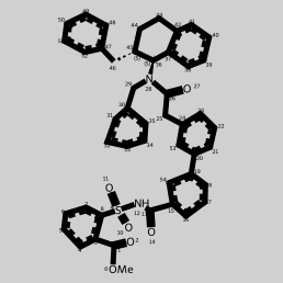 COC(=O)c1ccccc1S(=O)(=O)NC(=O)c1cccc(-c2cccc(CC(=O)N(Cc3ccccc3)[C@@H]3c4ccccc4CC[C@H]3Cc3ccccc3)c2)c1